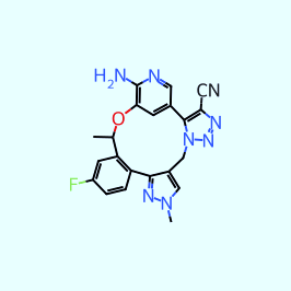 CC1Oc2cc(cnc2N)-c2c(C#N)nnn2Cc2cn(C)nc2-c2ccc(F)cc21